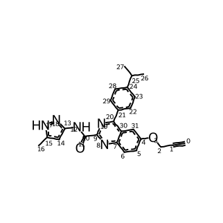 C#CCOc1ccc2nc(C(=O)Nc3cc(C)[nH]n3)nc(-c3ccc(C(C)C)cc3)c2c1